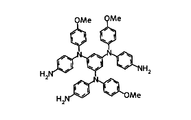 COc1ccc(N(c2ccc(N)cc2)c2cc(N(c3ccc(N)cc3)c3ccc(OC)cc3)cc(N(c3ccc(N)cc3)c3ccc(OC)cc3)c2)cc1